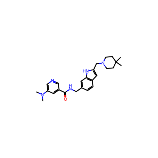 CN(C)c1cncc(C(=O)NCc2ccc3cc(CN4CCC(C)(C)CC4)[nH]c3c2)c1